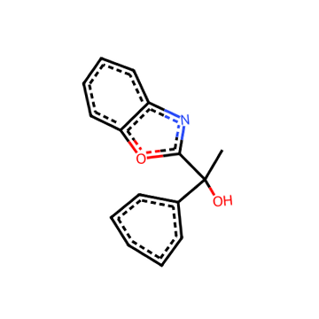 CC(O)(c1ccccc1)c1nc2ccccc2o1